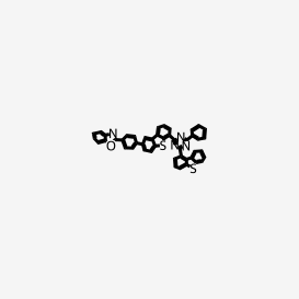 c1ccc(-c2nc(-c3cccc4c3sc3ccc(-c5ccc(-c6nc7ccccc7o6)cc5)cc34)nc(-c3cccc4sc5ccccc5c34)n2)cc1